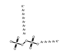 O=S(=O)([O-])OOS(=O)(=O)[O-].[Ar].[Ar].[Ar].[Ar].[Ar].[Ar].[Ar].[Ar].[Ar].[Ar].[Ar].[K+].[K+]